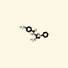 Nc1ccc(C(=O)Nc2nn(-c3ccccc3)cc2N)cc1